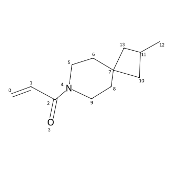 C=CC(=O)N1CCC2(CC1)CC(C)C2